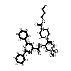 CCCCOC(=O)N1CCN(C(=O)C(CP(=O)(O)O)NC(=O)c2cc(-c3ccccc3)nc(-c3ccccc3)n2)CC1